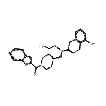 CCCN(CC1CCN(C(=O)c2cc3ccccc3s2)CC1)C1CCc2c(O)cccc2C1